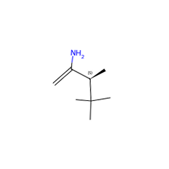 C=C(N)[C@@H](C)C(C)(C)C